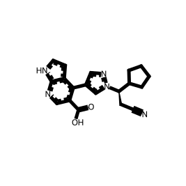 N#CC[C@H](C1CCCC1)n1cc(-c2c(C(=O)O)cnc3[nH]ccc23)cn1